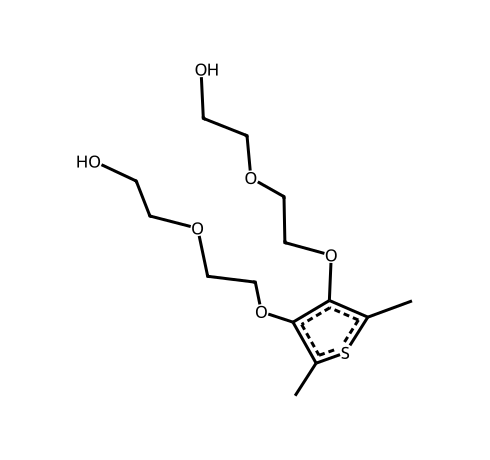 Cc1sc(C)c(OCCOCCO)c1OCCOCCO